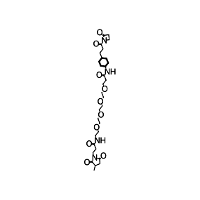 CC1CC(=O)N(CCC(=O)NCCOCCOCCOCCOCCC(=O)Nc2ccc(CCC(=O)N3CCC3=O)cc2)C1=O